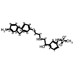 CS(=O)(=O)Nc1cccc(C(O)CNCCOc2ccc3c(c2)Cc2cc(N)ccc2-3)c1